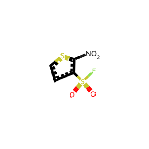 O=[N+]([O-])c1sccc1S(=O)(=O)F